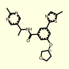 Cc1ncc(C(C)NC(=O)c2cc(O[C@H]3CCOC3)cc(-c3ncc(C)s3)c2)cn1